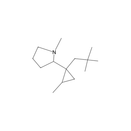 CC1CC1(CC(C)(C)C)C1CCCN1C